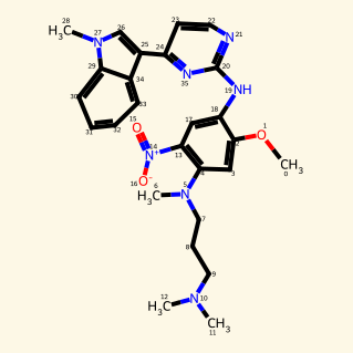 COc1cc(N(C)CCCN(C)C)c([N+](=O)[O-])cc1Nc1nccc(-c2cn(C)c3ccccc23)n1